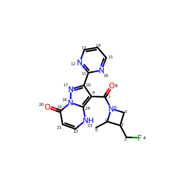 CC1C(CF)CN1C(=O)c1c(-c2ncccn2)nn2c(=O)cc[nH]c12